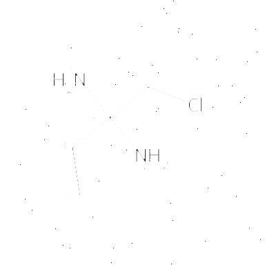 CCC(N)(N)CCl